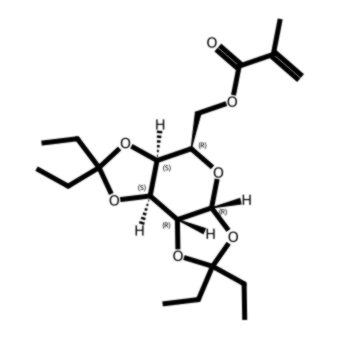 C=C(C)C(=O)OC[C@H]1O[C@@H]2OC(CC)(CC)O[C@@H]2[C@H]2OC(CC)(CC)O[C@H]21